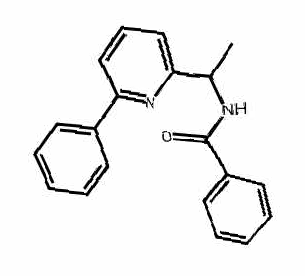 CC(NC(=O)c1ccccc1)c1cccc(-c2ccccc2)n1